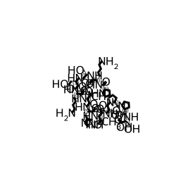 C[C@@H](O)[C@H](NC(=O)[C@H](CCCCN)NC(=O)[C@H](CC(=O)O)NC(=O)[C@H](CO)NC(=O)[C@H](CCCCN)NC(=O)[C@@H]1CCCN1)C(=O)N[C@@H](Cc1c[nH]cn1)C(=O)N[C@H](C(=O)N[C@@H](CO)C(=O)N1CCC[C@H]1C(=O)N1CCC[C@H]1C(=O)N[C@@H](CO)C(=O)O)[C@@H](C)O